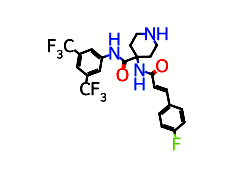 O=C(C=Cc1ccc(F)cc1)NC1(C(=O)Nc2cc(C(F)(F)F)cc(C(F)(F)F)c2)CCNCC1